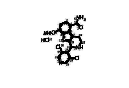 COc1ccc(C(N)=O)c2c3c(sc12)C(c1c(Cl)cncc1Cl)NCC3.Cl